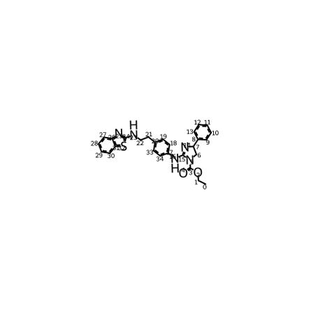 CCOC(=O)N1CC(c2ccccc2)N=C1Nc1ccc(CCNc2nc3ccccc3s2)cc1